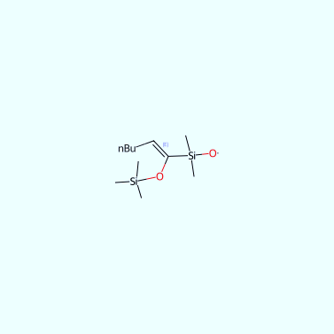 CCCC/C=C(\O[Si](C)(C)C)[Si](C)(C)[O]